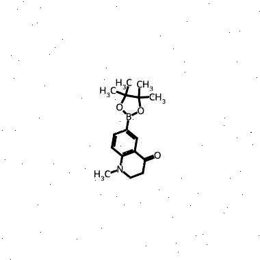 CN1CCC(=O)c2cc(B3OC(C)(C)C(C)(C)O3)ccc21